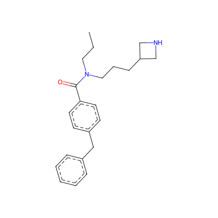 CCCN(CCCC1CNC1)C(=O)c1ccc(Cc2ccccc2)cc1